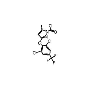 Cc1cc(Oc2c(Cl)cc(C(F)(F)F)cc2Cl)nn1C(=O)Cl